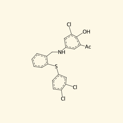 CC(=O)c1cc(NCc2ccccc2Sc2ccc(Cl)c(Cl)c2)cc(Cl)c1O